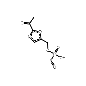 CC(=O)c1ncc(COP(=O)(O)N=O)o1